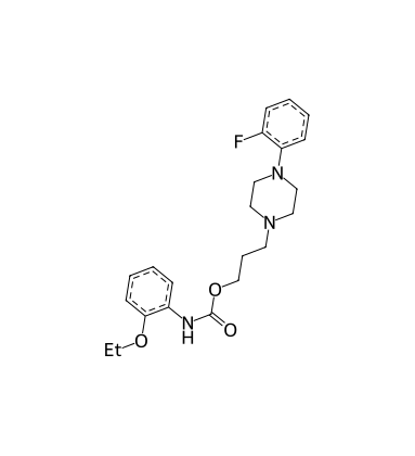 CCOc1ccccc1NC(=O)OCCCN1CCN(c2ccccc2F)CC1